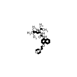 CC(C)n1nc(C(C)(C)C)cc1NC(=O)Nc1ccc(OCCN2CCOCC2)c2ccccc12